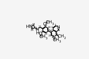 C=C1c2cnccc2C(c2cc(OC)c(CNC3CNC3)c(OC)c2)=CN1C